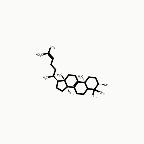 C/C(=C/CCC(C)[C@@H]1CC[C@]2(C)C3=C(CC[C@@]12C)[C@@]1(C)CC[C@H](O)C(C)(C)C1CC3)C(=O)O